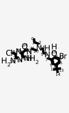 CCCN(CCNCc1cc(C(C)(C)C)cc(Br)c1O)CCNC(=O)c1nc(Cl)c(N)nc1N